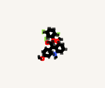 COc1ccc2c(c1)N(C)C1=CC=CC(OC)C1=C2C(=O)Oc1c(F)ccc(F)c1F